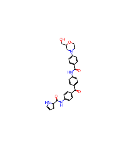 O=C(Nc1ccc(C(=O)c2ccc(NC(=O)c3ccc[nH]3)cc2)cc1)c1ccc(N2CCOC(CO)C2)cc1